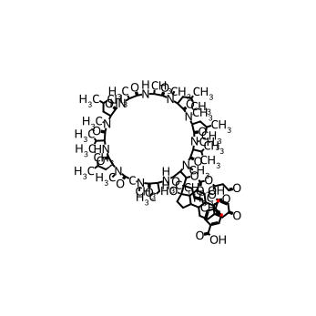 C/C=C/C[C@](C)(C(OC(=O)OC(CC=O)OC(=O)c1ccc(C(=O)O)cc1)C1C(=O)NC(CC)C(=O)N(C)CC(=O)N(C)[C@@H](CC(C)C)C(=O)NC(C(C)C)C(=O)N(C)C(CC(C)C)C(=O)NC(C)C(=O)NC(C)C(=O)N(C)C(CC(C)C)C(=O)N(C)C(CC(C)C)C(=O)N(C)C(C(C)C)C(=O)N1C)[C@@]1(O)CCC2C3CCC4=CC(=O)C=C[C@]4(C)C3[C@@H](O)C[C@@]21C